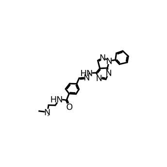 CN(C)CCNC(=O)c1ccc(/C=N/Nc2ncnc3c2cnn3-c2ccccc2)cc1